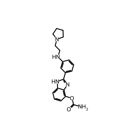 NC(=O)Oc1cccc2[nH]c(-c3cccc(NCCN4CCCC4)c3)nc12